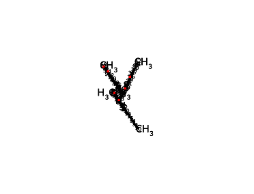 CCCCCCCCCCCCSSCCN(CCCN(C)C)CCCN(CCSSCCCCCCCCCCCC)CCSSCCCCCCCCCCCC